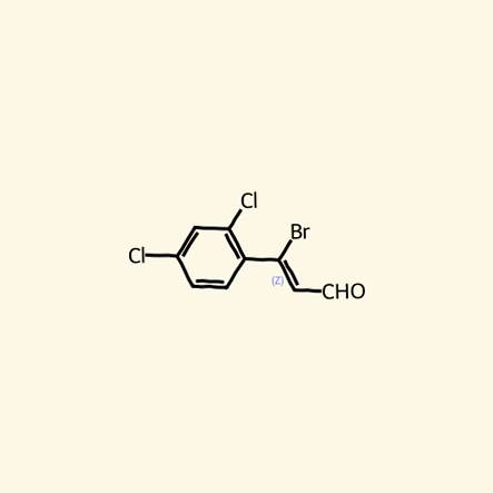 O=C/C=C(\Br)c1ccc(Cl)cc1Cl